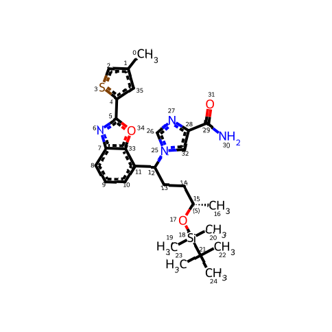 Cc1csc(-c2nc3cccc(C(CC[C@H](C)O[Si](C)(C)C(C)(C)C)n4cnc(C(N)=O)c4)c3o2)c1